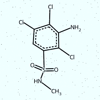 CNS(=O)(=O)c1cc(Cl)c(Cl)c(N)c1Cl